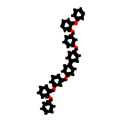 c1ccc(Oc2ccccc2Oc2cccc(Oc3ccc(-c4ccc(Oc5cccc(Oc6ccccc6Oc6ccccc6)c5)cc4)cc3)c2)cc1